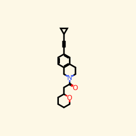 O=C(CC1CCCCO1)N1CCc2cc(C#CC3CC3)ccc2C1